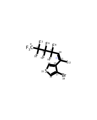 FC(F)(F)C(F)(F)C(F)(F)C(F)(F)/C=C(/I)c1cscc1Br